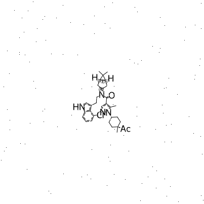 Cc1c(C(=O)N(CCc2c[nH]c3cccc(Cl)c23)[C@H]2C[C@@H]3[C@H](C2)C3(C)C)cnn1[C@H]1CC[C@](C)(C(C)=O)CC1